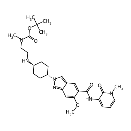 COc1cc2nn([C@H]3CC[C@H](NCCN(C)C(=O)OC(C)(C)C)CC3)cc2cc1C(=O)Nc1cccn(C)c1=O